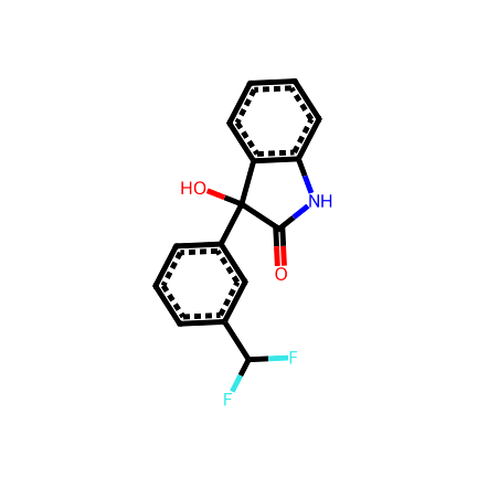 O=C1Nc2ccccc2C1(O)c1cccc(C(F)F)c1